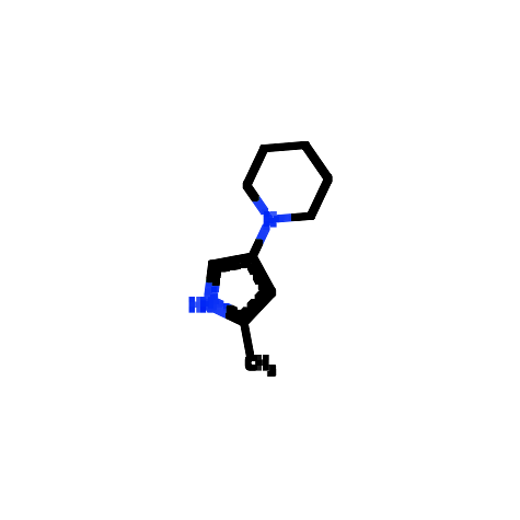 Cc1cc(N2CCCCC2)c[nH]1